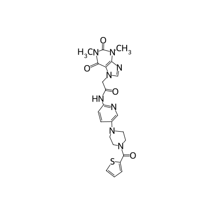 Cn1c(=O)c2c(ncn2CC(=O)Nc2ccc(N3CCN(C(=O)c4cccs4)CC3)cn2)n(C)c1=O